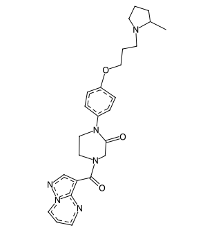 CC1CCCN1CCCOc1ccc(N2CCN(C(=O)c3cnn4cccnc34)CC2=O)cc1